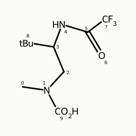 CN(CC(NC(=O)C(F)(F)F)C(C)(C)C)C(=O)O